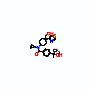 CC(O)(c1ccc(C(=O)N(C2CC2)C2CCC(CO)(c3cscn3)CC2)cc1)C(F)(F)F